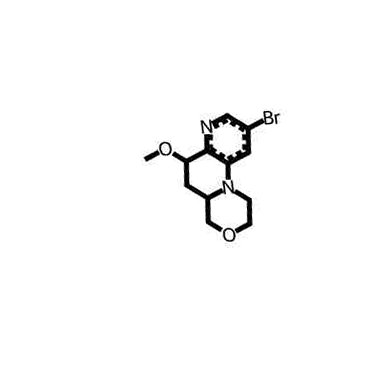 COC1CC2COCCN2c2cc(Br)cnc21